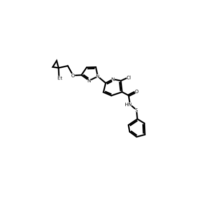 CCC1(COc2ccn(-c3ccc(C(=O)NSc4ccccc4)c(Cl)n3)n2)CC1